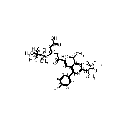 CC(C)c1nc(N(C)S(C)(=O)=O)nc(-c2ccc(F)cc2)c1/C=C/C(=O)C[C@H](CC(=O)O)O[Si](C)(C)C(C)(C)C